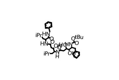 CC(C)CC(NC(=O)CC(O)C(CC(C)C)NC(=O)CC(O)C(O)C(Cc1ccccc1)NC(=O)OC(C)(C)C)C(=O)NCc1ccccc1